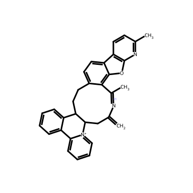 C=C1CC2C(CCc3ccc4c(oc5nc(C)ccc54)c3/C(C)=N\1)c1ccccc1-c1cccc[n+]12